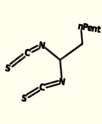 CCCCCCC(N=C=S)N=C=S